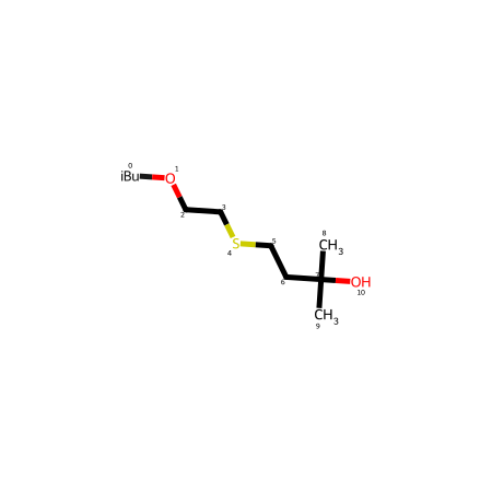 CCC(C)OCCSCCC(C)(C)O